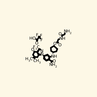 CC1(C)CC(=O)c2c(C(F)(F)F)nn(-c3ccc(C(N)=O)c(N[C@H]4CC[C@H](OC(=O)CNC(=O)CN)CC4)c3)c2C1.O=C(O)C(F)(F)F